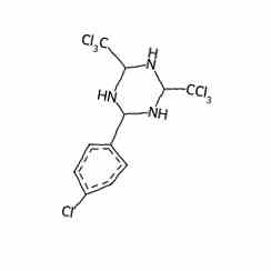 Clc1ccc(C2NC(C(Cl)(Cl)Cl)NC(C(Cl)(Cl)Cl)N2)cc1